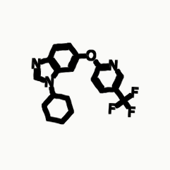 FC(F)(F)c1ccc(Oc2ccc3ncn(C4CCCCC4)c3c2)nc1